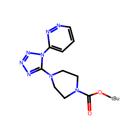 CC(C)(C)OC(=O)N1CCN(c2nnnn2-c2cccnn2)CC1